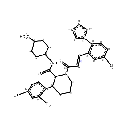 O=C(O)C1CCC(NC(=O)C2C(c3ccc(F)cc3F)CCCN2C(=O)/C=C/c2cc(Cl)ccc2-n2cnnn2)CC1